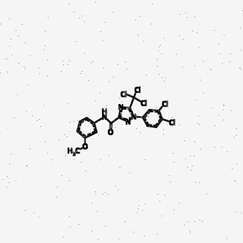 COc1cccc(NC(=O)c2nc(C(Cl)(Cl)Cl)n(-c3ccc(Cl)c(Cl)c3)n2)c1